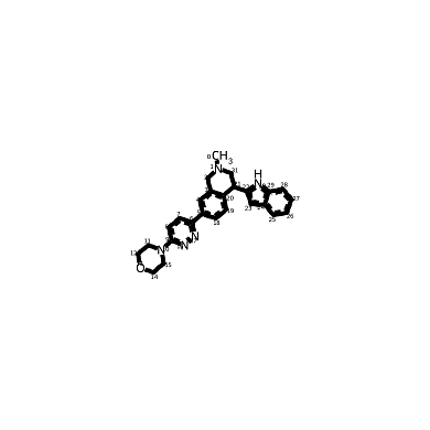 CN1Cc2cc(-c3ccc(N4CCOCC4)nn3)ccc2C(c2cc3ccccc3[nH]2)C1